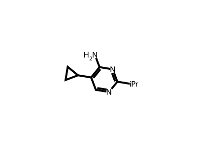 CC(C)c1ncc(C2CC2)c(N)n1